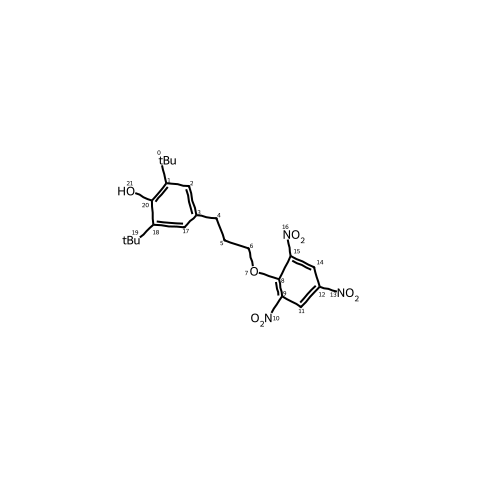 CC(C)(C)c1cc(CCCOc2c([N+](=O)[O-])cc([N+](=O)[O-])cc2[N+](=O)[O-])cc(C(C)(C)C)c1O